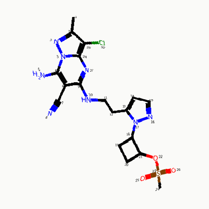 Cc1nn2c(N)c(C#N)c(NCCc3ccnn3C3CCC3OS(C)(=O)=O)nc2c1Cl